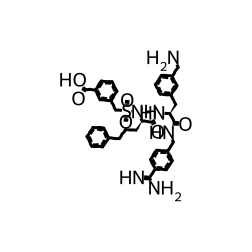 N=C(N)c1ccc(CNC(=O)[C@H](Cc2cccc(CN)c2)NC(=O)[C@@H](CCCc2ccccc2)NS(=O)(=O)Cc2cccc(C(=O)O)c2)cc1